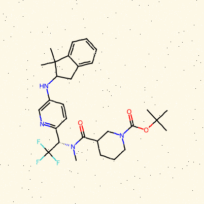 CN(C(=O)C1CCCN(C(=O)OC(C)(C)C)C1)[C@@H](c1ccc(NC2Cc3ccccc3C2(C)C)cn1)C(F)(F)F